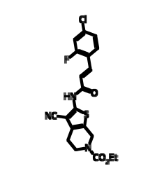 CCOC(=O)N1CCc2c(sc(NC(=O)C=Cc3ccc(Cl)cc3F)c2C#N)C1